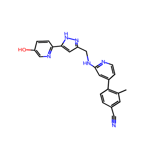 Cc1cc(C#N)ccc1-c1ccnc(NCc2cc(-c3ccc(O)cn3)[nH]n2)c1